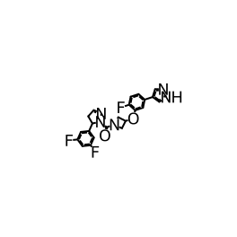 O=C(N1CC(Oc2cc(-c3cn[nH]c3)ccc2F)C1)N1N=CCC1c1cc(F)cc(F)c1